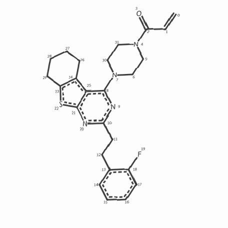 C=CC(=O)N1CCN(c2nc(CCc3ccccc3F)nc3sc4c(c23)CCCC4)CC1